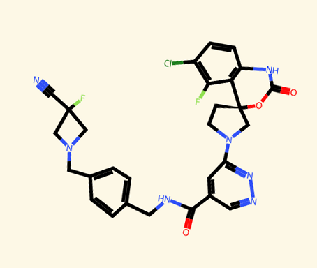 N#CC1(F)CN(Cc2ccc(CNC(=O)c3cnnc(N4CC[C@]5(C4)OC(=O)Nc4ccc(Cl)c(F)c45)c3)cc2)C1